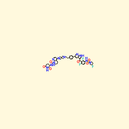 O=C1CC[C@@H](NC(=O)N2CCCc3c(N4CC5(CN(CCc6ccc(-c7cnc8[nH]cc(C(=O)c9c(F)ccc(NS(=O)(=O)N%10CC[C@@H](F)C%10)c9F)c8c7)cc6)C5)C4)ccnc32)C(=O)N1